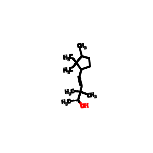 CC(O)C(C)(C)/C=C/C1CCC(C)C1(C)C